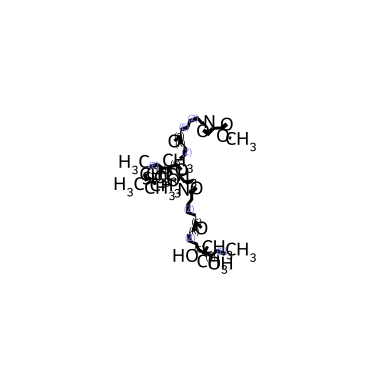 C/C=C/[C@H](O[Si](C)(C)C(C)(C)C)C(C)(C)[C@H](C/C=C\[C@H]1O[C@H]1/C=C/C=C\c1nc(C(=O)OC)co1)OC(=O)c1coc(C/C=C\C[C@@H]2O[C@@H]2/C=C\C[C@H](O)C(C)(C)[C@@H](O)/C=C/C)n1